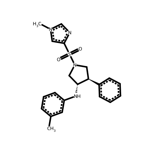 Cc1cccc(N[C@@H]2CN(S(=O)(=O)c3cn(C)cn3)C[C@H]2c2ccccc2)c1